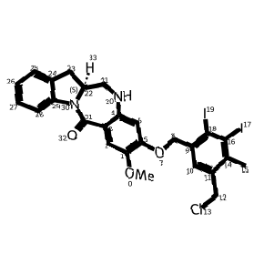 COc1cc2c(cc1OCc1cc(CCl)c(C)c(I)c1I)NC[C@@H]1Cc3ccccc3N1C2=O